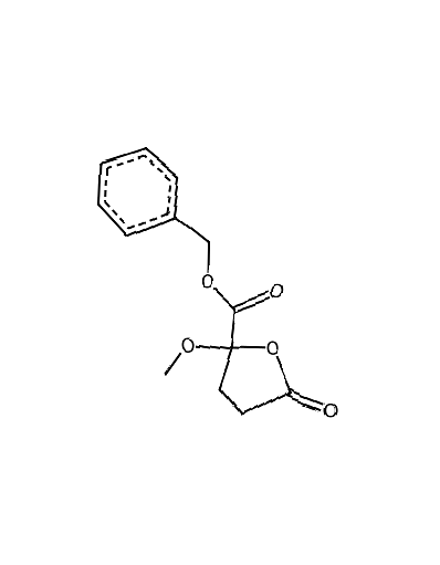 COC1(C(=O)OCc2ccccc2)CCC(=O)O1